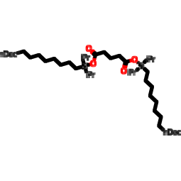 CCCCCCCCCCCCCCCCCC[Si](OC(=O)CCCC(=O)O[Si](CCCCCCCCCCCCCCCCCC)(C(C)C)C(C)C)(C(C)C)C(C)C